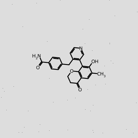 Cc1cc2c(c(-c3cnccc3Cc3ccc(C(N)=O)cc3)c1O)OCCC2=O